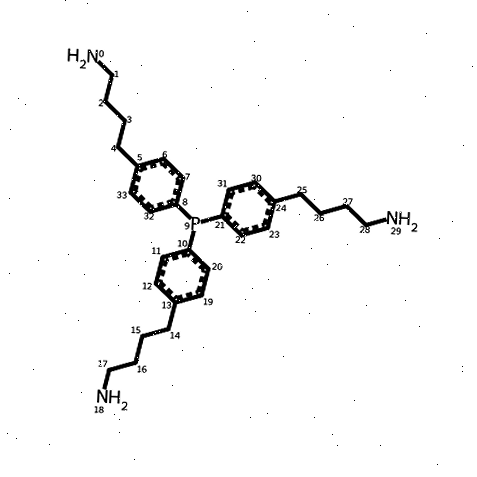 NCCCCc1ccc(P(c2ccc(CCCCN)cc2)c2ccc(CCCCN)cc2)cc1